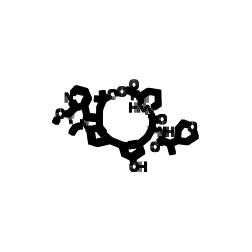 CCn1c(-c2cccnc2[C@H](C)OC)c2c3cc(ccc31)-c1cc(O)cc(c1)C[C@H](NC(=O)C(C)C1CCOCC1)C(=O)N1CCC[C@H](N1)C(=O)OCC(C)(C)C2